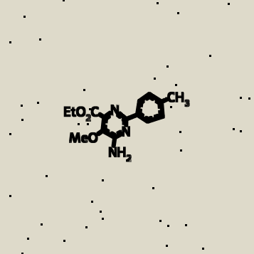 CCOC(=O)c1nc(-c2ccc(C)cc2)nc(N)c1OC